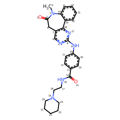 CN1C(=O)Cc2cnc(Nc3ccc(C(=O)NCCN4CCCCC4)cc3)nc2-c2ccccc21